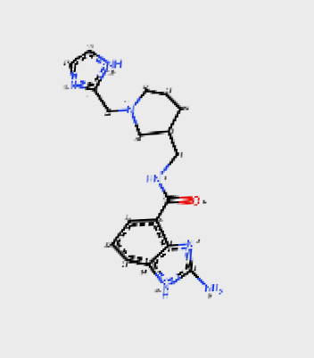 Nc1nc2c(C(=O)NCC3CCCN(Cc4ncc[nH]4)C3)cccc2[nH]1